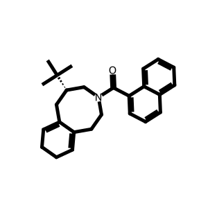 CC(C)(C)[C@H]1CC2=CCCC=C2CCN(C(=O)c2cccc3ccccc23)C1